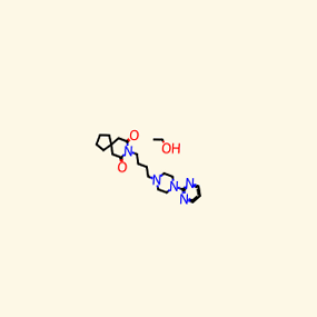 CCO.O=C1CC2(CCCC2)CC(=O)N1CCCCN1CCN(c2ncccn2)CC1